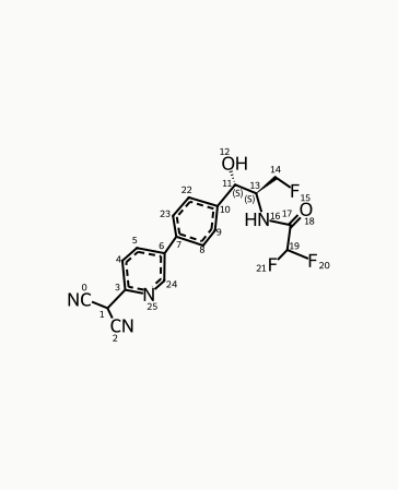 N#CC(C#N)c1ccc(-c2ccc([C@H](O)[C@@H](CF)NC(=O)C(F)F)cc2)cn1